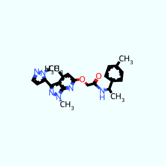 Cc1ccc(C(C)NC(=O)COc2cc(C)c3c(-c4ccnn4C)nn(C)c3n2)cc1